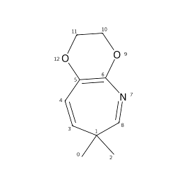 CC1(C)C=CC2=C(N=C1)OCCO2